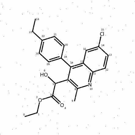 CCOC(=O)C(O)c1c(C)nc2ccc(Cl)cc2c1-c1ccc(CC)cc1